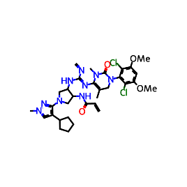 C=CC(=O)NC1CN(c2nn(C)cc2C2CCCC2)CC1N/C(N=C)=N/C1=C(C)CN(c2c(Cl)c(OC)cc(OC)c2Cl)C(=O)N1C